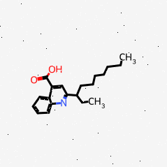 CCCCCCCC(CC)c1cc(C(=O)O)c2ccccc2n1